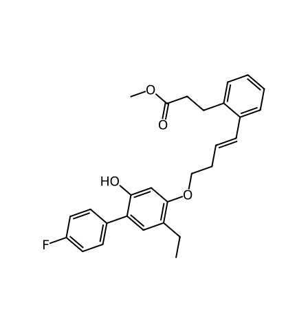 CCc1cc(-c2ccc(F)cc2)c(O)cc1OCCC=Cc1ccccc1CCC(=O)OC